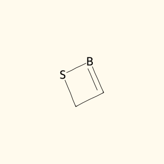 B1=CCS1